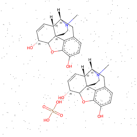 CN1CC[C@@]23c4c5ccc(O)c4OC2[C@H](O)C=C[C@@H]3[C@@H]1C5.CN1CC[C@@]23c4c5ccc(O)c4OC2[C@H](O)C=C[C@@H]3[C@@H]1C5.O=S(=O)(O)O